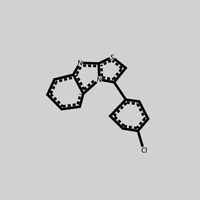 Clc1ccc(-c2csc3nc4ccccc4n23)cc1